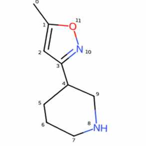 Cc1cc(C2CCCNC2)no1